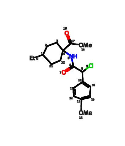 CCC1CCC(NC(=O)C(Cl)c2ccc(OC)cc2)(C(=O)OC)CC1